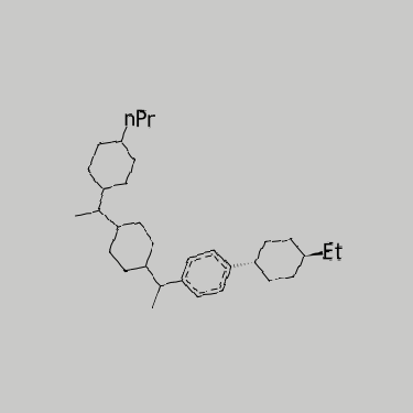 CCCC1CCC(C(C)C2CCC(C(C)c3ccc([C@H]4CC[C@H](CC)CC4)cc3)CC2)CC1